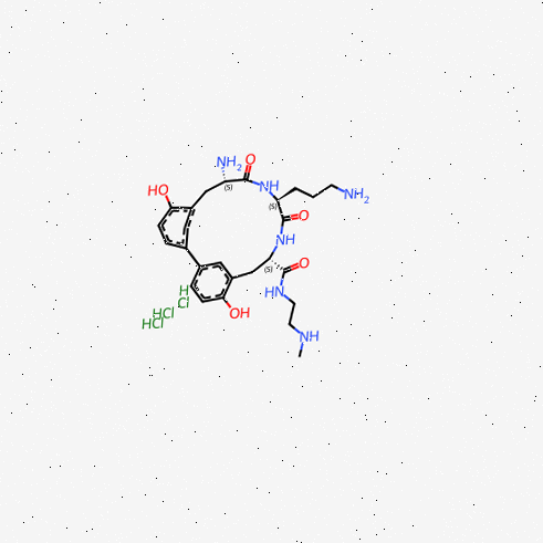 CNCCNC(=O)[C@@H]1Cc2cc(ccc2O)-c2ccc(O)c(c2)C[C@H](N)C(=O)N[C@@H](CCCN)C(=O)N1.Cl.Cl.Cl